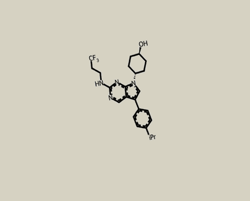 CC(C)c1ccc(-c2cn([C@H]3CC[C@H](O)CC3)c3nc(NCCC(F)(F)F)ncc23)cc1